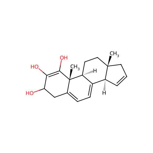 C[C@@]12CC=C[C@H]1C1=CC=C3CC(O)C(O)=C(O)[C@]3(C)[C@H]1CC2